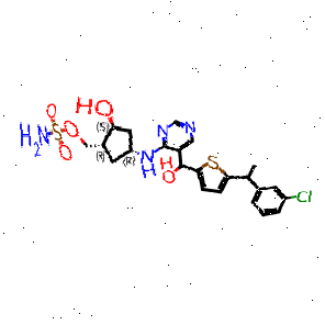 CC(c1cccc(Cl)c1)c1ccc(C(O)c2cncnc2N[C@@H]2C[C@H](COS(N)(=O)=O)[C@@H](O)C2)s1